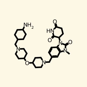 Cn1c(=O)n(C2CCC(=O)NC2=O)c2ccc(CN3CCC(OC4CCN(CC5CCC(N)CC5)CC4)CC3)cc21